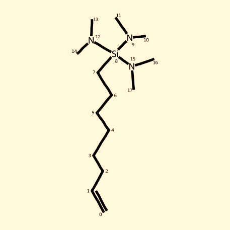 C=CCCCCCC[Si](N(C)C)(N(C)C)N(C)C